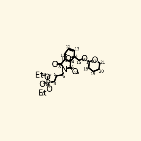 CCOP(=O)(CCCN1C(=O)C2C3C=CC(COC4CCCCO4)(O3)C2C1=O)OCC